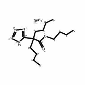 CCCCOC(=O)C(CCCC)(CCCC)c1nnn[nH]1.[SnH2]